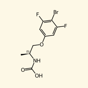 C[C@@H](COc1cc(F)c(Br)c(F)c1)NC(=O)O